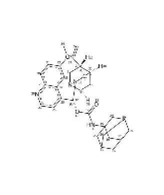 C=C[C@H]1CN2CC[C@H]1C[C@H]2[C@H](OC(=O)NC12CC3CC(CC(C3)C1)C2)c1ccnc2ccc(OC)cc12